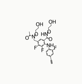 C#Cc1ccc(Nc2c(C(=O)NOCCO)cc(CN(OCCO)C(C)=O)c(F)c2F)c(F)c1